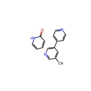 N#Cc1cncc(-c2ccncc2)c1.O=c1cccc[nH]1